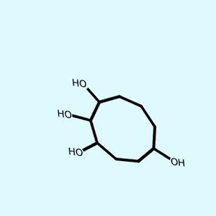 OC1CCCC(O)C(O)C(O)CC1